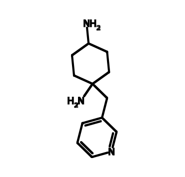 NC1CCC(N)(Cc2cccnc2)CC1